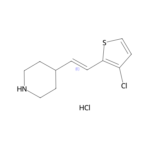 Cl.Clc1ccsc1/C=C/C1CCNCC1